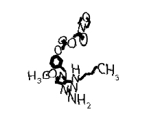 CCCCCNc1nc(N)nc2ccn(Cc3cc(OCC(=O)OCC(=O)N4CCOCC4)ccc3OC)c12